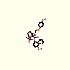 C[C@@]12CC[C@@](CCOc3ccc(C#N)cc3)(O1)[C@H]1C(=O)N(c3ccc(C#N)c4ccccc34)C(=O)[C@H]12